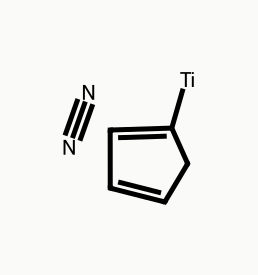 N#N.[Ti][C]1=CC=CC1